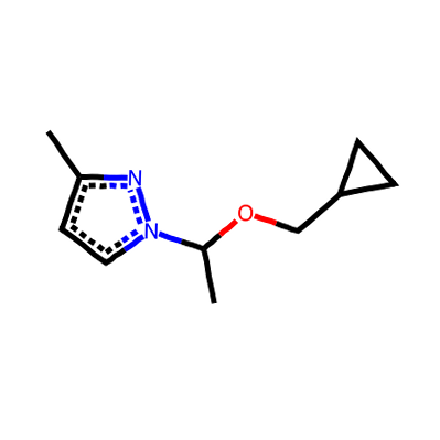 Cc1ccn(C(C)OCC2CC2)n1